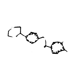 Cl.O=C(Nc1ccc(C2CNCCO2)cc1)c1ccc(Cl)c(Cl)c1